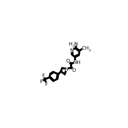 Cc1cc(NC(=O)C(=O)N2CC(c3ccc(C(F)(F)F)cc3)C2)cnc1N